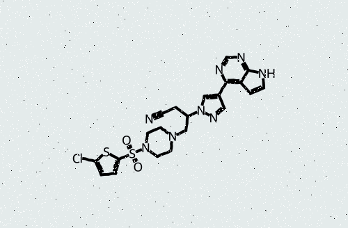 N#CCC(CN1CCN(S(=O)(=O)c2ccc(Cl)s2)CC1)n1cc(-c2ncnc3[nH]ccc23)cn1